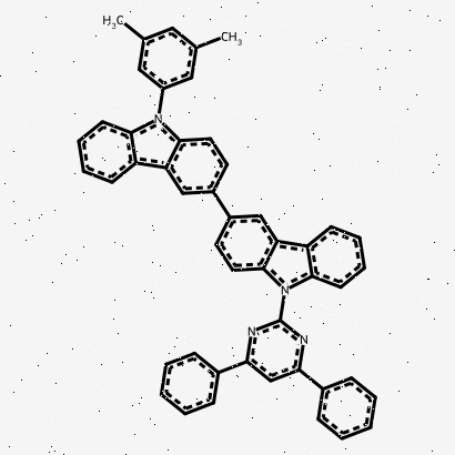 Cc1cc(C)cc(-n2c3ccccc3c3cc(-c4ccc5c(c4)c4ccccc4n5-c4nc(-c5ccccc5)cc(-c5ccccc5)n4)ccc32)c1